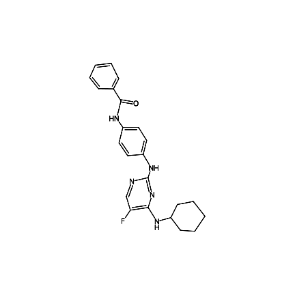 O=C(Nc1ccc(Nc2ncc(F)c(NC3CCCCC3)n2)cc1)c1ccccc1